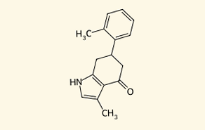 Cc1ccccc1C1CC(=O)c2c(C)c[nH]c2C1